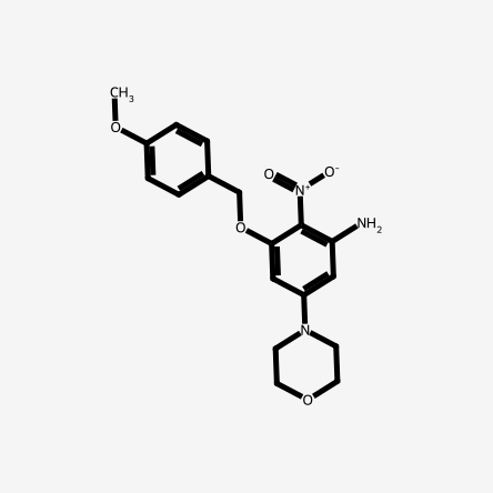 COc1ccc(COc2cc(N3CCOCC3)cc(N)c2[N+](=O)[O-])cc1